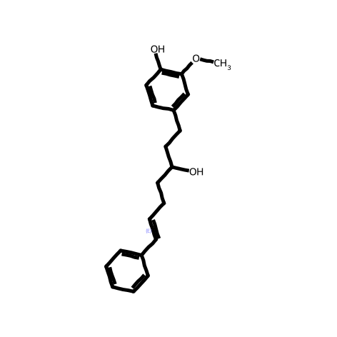 COc1cc(CCC(O)CC/C=C/c2ccccc2)ccc1O